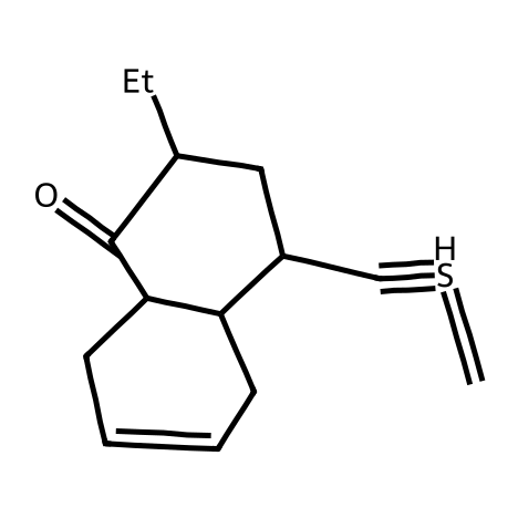 C=[SH]#CC1CC(CC)C(=O)C2CC=CCC12